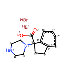 Br.Br.O=C(O)C1(N2CCNCC2)CCc2ccccc21